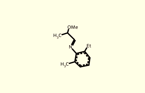 CCc1cccc(C)c1N=CC(C)OC